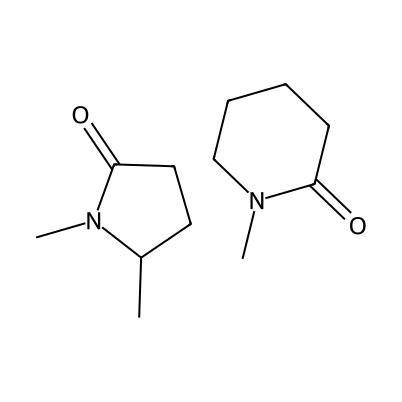 CC1CCC(=O)N1C.CN1CCCCC1=O